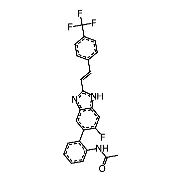 CC(=O)Nc1ccccc1-c1cc2nc(C=Cc3ccc(C(F)(F)F)cc3)[nH]c2cc1F